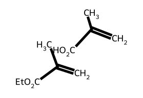 C=C(C)C(=O)O.C=C(C)C(=O)OCC